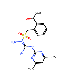 COC(=O)c1ccccc1CS(=O)(=O)[N+](N)=C(N)Nc1nc(OC)cc(OC)n1